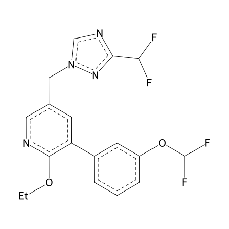 CCOc1ncc(Cn2cnc(C(F)F)n2)cc1-c1cccc(OC(F)F)c1